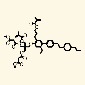 C=C(C)C(=O)OCCCc1cc(-c2ccc(CCC3CCC(CCC)CC3)cc2)c(CC)cc1OCC(COC(=O)CC(=O)OC)(COC(=O)CC(=O)OC)COC(=O)C(=C)C